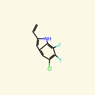 C=Cc1cc2cc(Cl)c(F)c(F)c2[nH]1